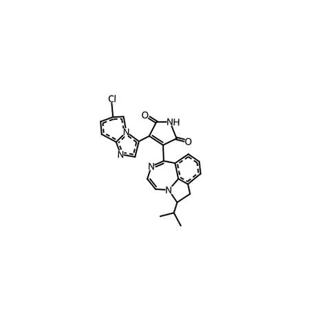 CC(C)C1Cc2cccc3c2N1C=CN=C3C1=C(c2cnc3ccc(Cl)cn23)C(=O)NC1=O